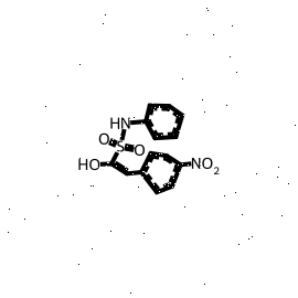 O=[N+]([O-])c1ccc(C=C(O)S(=O)(=O)Nc2ccccc2)cc1